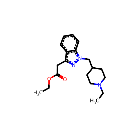 CCOC(=O)Cc1nn(CC2CCN(CC)CC2)c2ccccc12